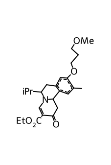 CCOC(=O)C1=CN2C(CC1=O)c1cc(C)c(OCCCOC)cc1CC2C(C)C